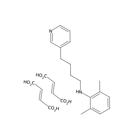 Cc1cccc(C)c1NCCCCc1cccnc1.O=C(O)C=CC(=O)O.O=C(O)C=CC(=O)O